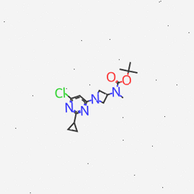 CN(C(=O)OC(C)(C)C)C1CN(c2cc(Cl)nc(C3CC3)n2)C1